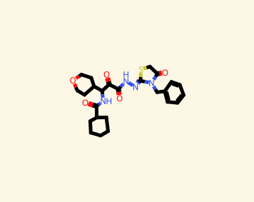 O=C(NN=C1SCC(=O)N1Cc1ccccc1)C(=O)C(NC(=O)C1CCCCC1)C1CCOCC1